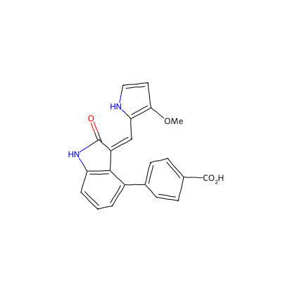 COc1cc[nH]c1C=C1C(=O)Nc2cccc(-c3ccc(C(=O)O)cc3)c21